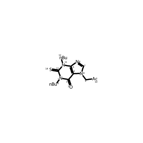 CCCCn1c(=O)c2c(ncn2CC(C)=O)n(CCCC)c1=S